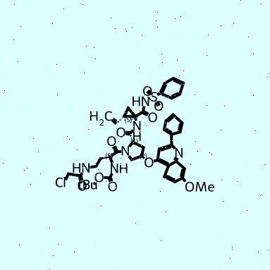 C=C[C@@H]1C[C@]1(NC(=O)[C@@H]1C[C@@H](Oc2cc(-c3ccccc3)nc3cc(OC)ccc23)CN1C(=O)[C@H](CCNC(=O)CCl)NC(=O)OC(C)(C)C)C(=O)NS(=O)(=O)c1ccccc1